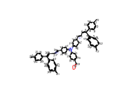 Cc1ccc(C(=C/C=C/c2ccc(N(c3ccc(C=O)cc3)c3ccc(/C=C/C=C(c4ccc(C)cc4)c4ccc(C)cc4)cc3)cc2)c2ccc(C)cc2)cc1